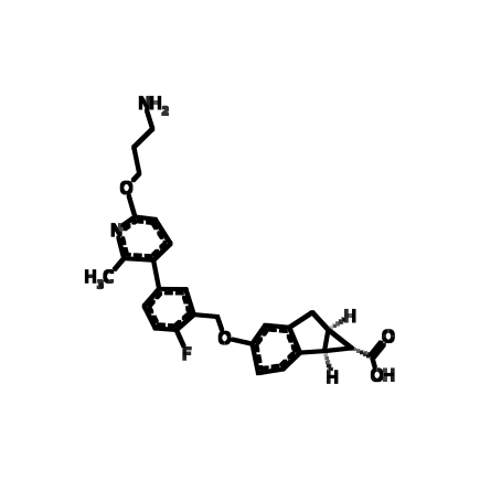 Cc1nc(OCCCN)ccc1-c1ccc(F)c(COc2ccc3c(c2)C[C@H]2[C@H](C(=O)O)[C@@H]32)c1